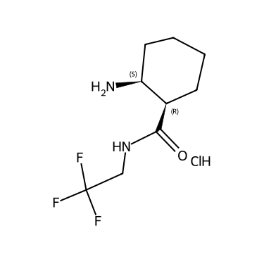 Cl.N[C@H]1CCCC[C@H]1C(=O)NCC(F)(F)F